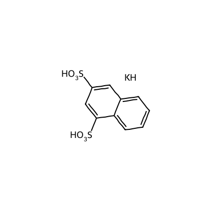 O=S(=O)(O)c1cc(S(=O)(=O)O)c2ccccc2c1.[KH]